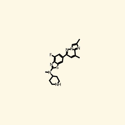 Cc1cn2nc(-c3cc(F)c4nc(N(C)C5CCNCC5)sc4c3)cc(C)c2n1